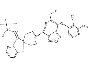 CC(C)(C)[S+]([O-])/N=C1\c2ccccc2CC12CCN(c1nc(CF)c(Sc3ccnc(N)c3Cl)c3nccn13)CC2